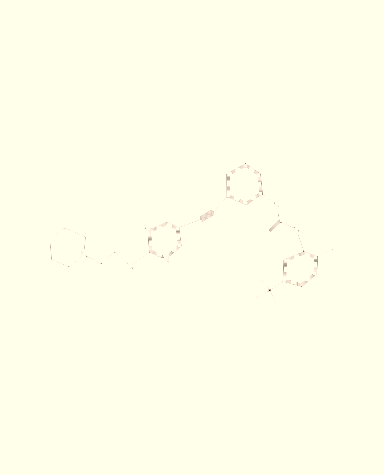 O=C(Nc1cccc(C#Cc2cnc(NCCN3CCOCC3)nc2)c1)Nc1cc(C(F)(F)F)ccc1F